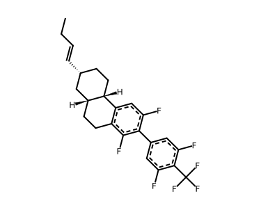 CC/C=C/[C@@H]1CC[C@@H]2c3cc(F)c(-c4cc(F)c(C(F)(F)F)c(F)c4)c(F)c3CC[C@@H]2C1